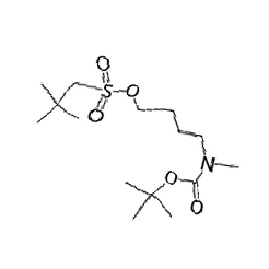 CN(CCCCOS(=O)(=O)CC(C)(C)C)C(=O)OC(C)(C)C